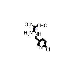 N/C(NCc1ccc(Cl)nc1)=C(/C=O)[N+](=O)[O-]